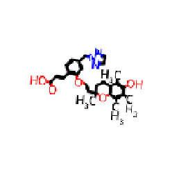 Cc1c(C)c2c(c(C)c1O)CCC(C)(CCOc1cc(Cn3nccn3)ccc1C=CC(=O)O)O2